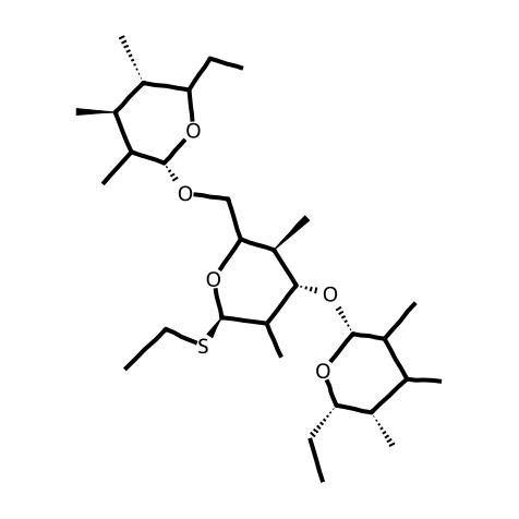 CCS[C@H]1OC(CO[C@H]2OC(CC)[C@@H](C)[C@H](C)C2C)[C@@H](C)[C@H](O[C@H]2O[C@@H](CC)[C@@H](C)C(C)C2C)C1C